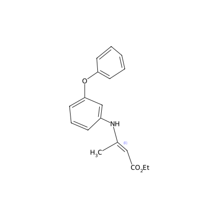 CCOC(=O)/C=C(\C)Nc1cccc(Oc2ccccc2)c1